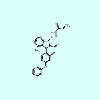 C=CC(=O)N1CC(N2c3ncnc(N)c3N(c3ccc(Oc4ccccc4)cc3F)C2C=O)C1